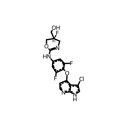 OC[C@]1(F)CN=C(Nc2cc(F)c(Oc3ccnc4[nH]cc(Cl)c34)c(F)c2)OC1